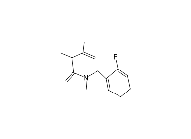 C=C(C)C(C)C(=C)N(C)CC1=CCCC=C1F